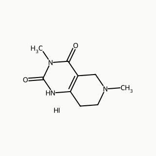 CN1CCc2[nH]c(=O)n(C)c(=O)c2C1.I